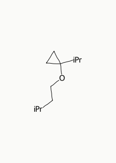 CC(C)CCOC1(C(C)C)CC1